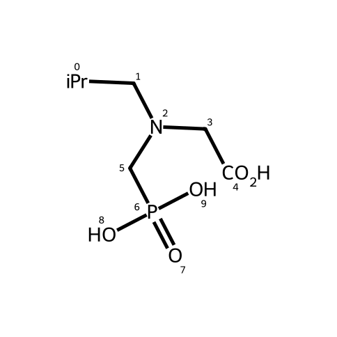 CC(C)CN(CC(=O)O)CP(=O)(O)O